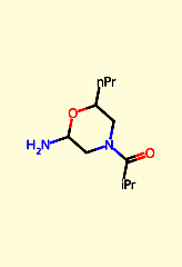 CCCC1CN(C(=O)C(C)C)CC(N)O1